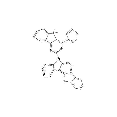 CC1(C)c2ccccc2-c2nc(-n3c4ccccc4c4c5oc6ccccc6c5ccc43)nc(-c3ccccc3)c21